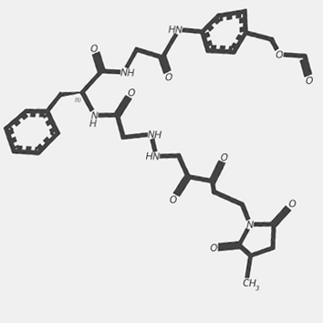 CC1CC(=O)N(CCC(=O)C(=O)CNNCC(=O)N[C@@H](Cc2ccccc2)C(=O)NCC(=O)Nc2ccc(COC=O)cc2)C1=O